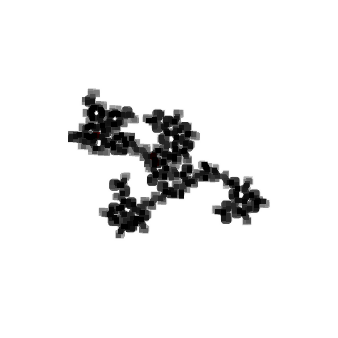 C=C(CCCCOC1OC(COC(C)=O)C(OC(C)=O)C(OC(C)=O)C1C)NCCN(CCNC(=O)CCCCOC1OC(COC(C)=O)C(OC(C)=O)C(OC(C)=O)C1NC(C)=O)C(=O)CC[C@H](NC(=O)CCCCOC1OC(COC(C)=O)C(OC(C)=O)C(OC(C)=O)C1NC(C)=O)C(=O)NCCCCCC(=O)N[C@@H](COC(c1ccccc1)(c1ccc(OC)cc1)c1ccc(OC)cc1)C(=O)N1CCC(CO)CC1